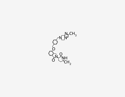 C=C1CCC(N2Cc3c(OCc4ccc(CN5CCn6cc(C)nc6C5)cc4)cccc3C2=O)C(=O)N1